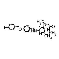 Cc1nc(NCc2ccc(OCc3ccc(F)cc3)cc2)nc2c1N(C)C(=O)CN2C